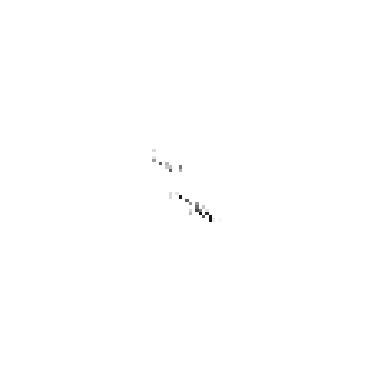 N#CC[C]=O